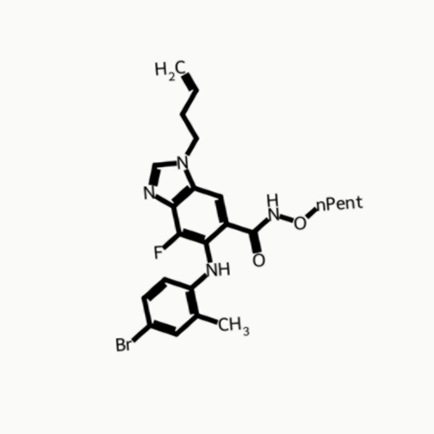 C=CCCn1cnc2c(F)c(Nc3ccc(Br)cc3C)c(C(=O)NOCCCCC)cc21